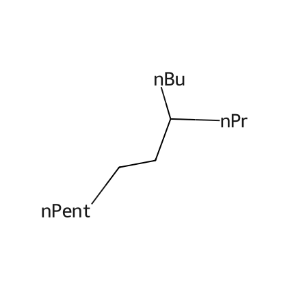 CCCCCCCC(CCC)CCCC